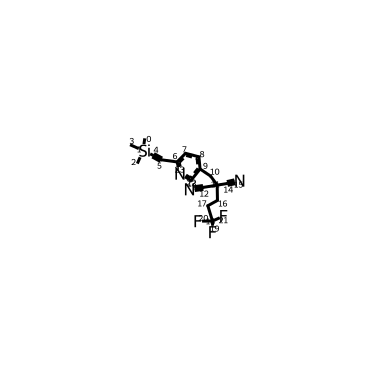 C[Si](C)(C)C#Cc1ccc(CC(C#N)(C#N)CCC(F)(F)F)cn1